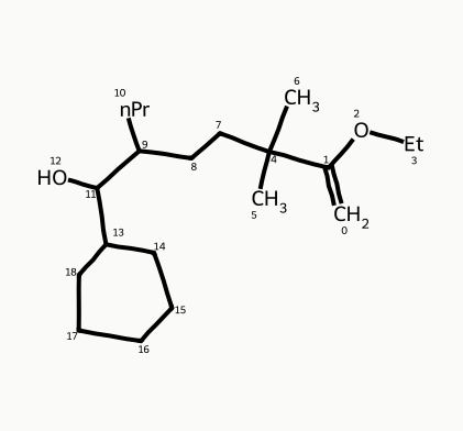 C=C(OCC)C(C)(C)CCC(CCC)C(O)C1CCCCC1